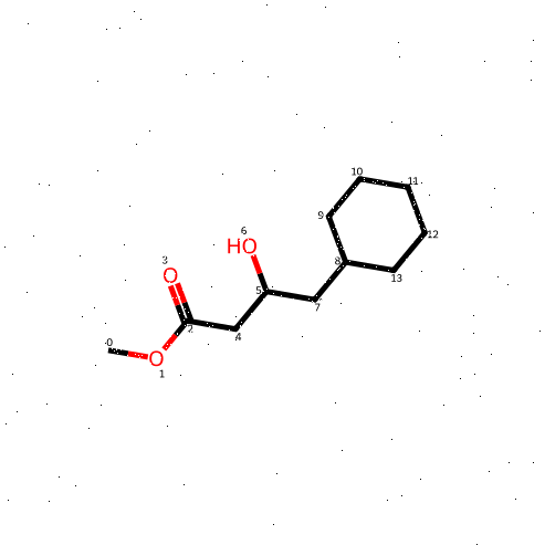 COC(=O)CC(O)[CH]C1CCCCC1